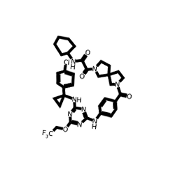 O=C(NC1CCCCC1)C(=O)N1CCC2(CCN(C(=O)c3ccc(Nc4nc(NC5(c6ccc(Cl)cc6)CC5)nc(OCC(F)(F)F)n4)cc3)C2)C1